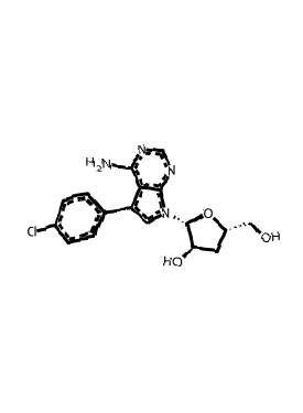 Nc1ncnc2c1c(-c1ccc(Cl)cc1)cn2[C@@H]1O[C@H](CO)C[C@H]1O